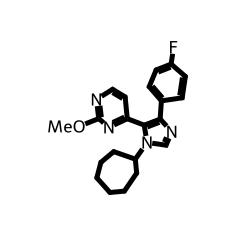 COc1nccc(-c2c(-c3ccc(F)cc3)ncn2C2CCCCCC2)n1